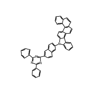 c1ccc(-c2nc(-c3ccccc3)nc(-c3ccc4cc(-n5c6ccccc6c6c7ccc8ccc9ccccc9c8c7ccc65)ccc4c3)n2)cc1